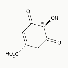 O=C(O)C1=CC(=O)[C@@H](O)C(=O)C1